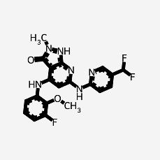 COc1c(F)cccc1Nc1cc(Nc2ccc(C(F)F)cn2)nc2[nH]n(C)c(=O)c12